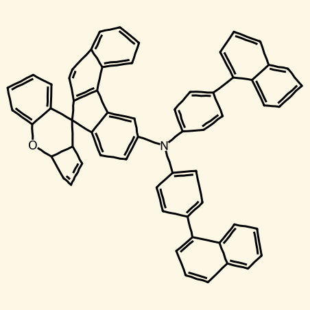 C1=CC2Oc3ccccc3C3(c4ccc(N(c5ccc(-c6cccc7ccccc67)cc5)c5ccc(-c6cccc7ccccc67)cc5)cc4-c4c3ccc3ccccc43)C2C=C1